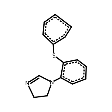 C1=NCCN1c1ccccc1Sc1ccccc1